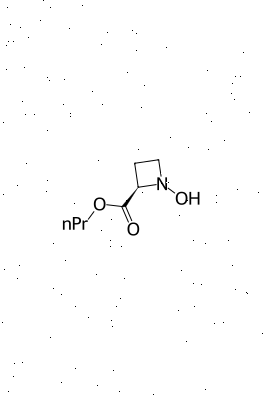 CCCOC(=O)[C@H]1CCN1O